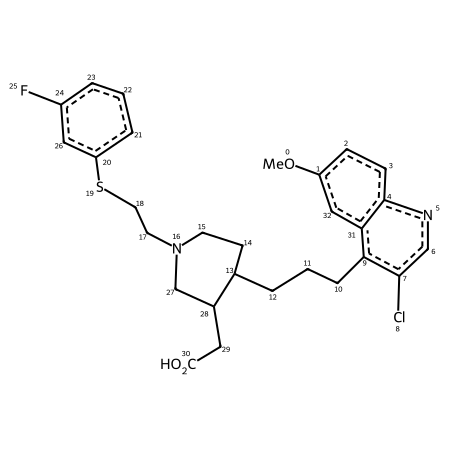 COc1ccc2ncc(Cl)c(CCCC3CCN(CCSc4cccc(F)c4)CC3CC(=O)O)c2c1